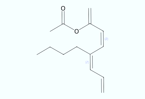 C=C/C=C(\C=C/C(=C)OC(C)=O)CCCC